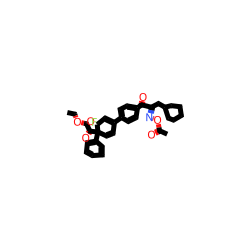 CCOC(=O)C(=O)C1(c2ccccc2)C=CC(c2ccc(C(=O)C(CC3CCCCC3)=NOC(C)=O)cc2)=CC1F